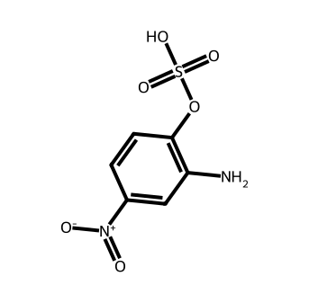 Nc1cc([N+](=O)[O-])ccc1OS(=O)(=O)O